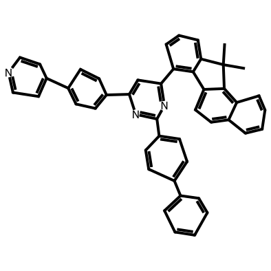 CC1(C)c2cccc(-c3cc(-c4ccc(-c5ccncc5)cc4)nc(-c4ccc(-c5ccccc5)cc4)n3)c2-c2ccc3ccccc3c21